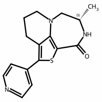 C[C@H]1CN2CCCc3c(-c4ccncc4)sc(c32)C(=O)N1